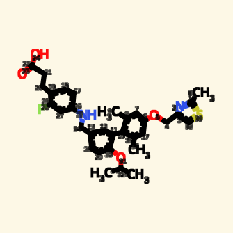 Cc1nc(COc2cc(C)c(-c3cc(CNc4ccc(CCC(=O)O)c(F)c4)ccc3OC(C)C)c(C)c2)cs1